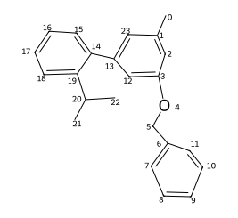 Cc1cc(OCc2ccccc2)cc(-c2ccccc2C(C)C)c1